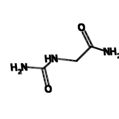 NC(=O)CNC(N)=O